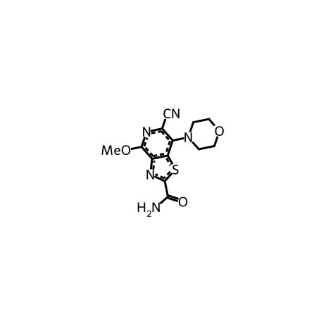 COc1nc(C#N)c(N2CCOCC2)c2sc(C(N)=O)nc12